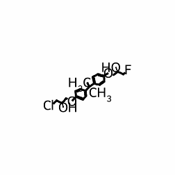 CC(C)(c1ccc(OC[C@@H](O)CF)cc1)c1ccc(OC[C@@H](O)CCl)cc1